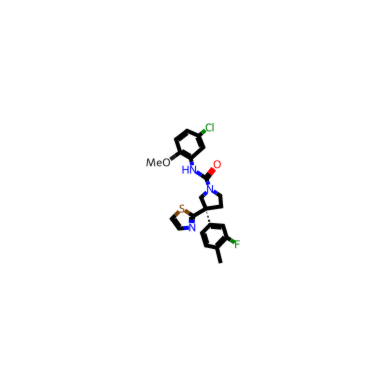 COc1ccc(Cl)cc1NC(=O)N1CC[C@@](c2ccc(C)c(F)c2)(c2nccs2)C1